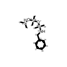 C[SiH](C)O[Si](C)(C)O[Si](C)(C)NCc1ccccc1